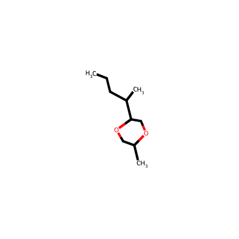 CCCC(C)C1COC(C)CO1